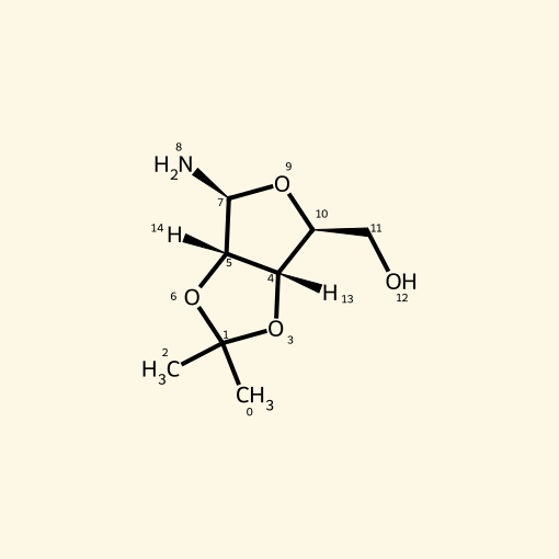 CC1(C)O[C@@H]2[C@H](O1)[C@@H](N)O[C@H]2CO